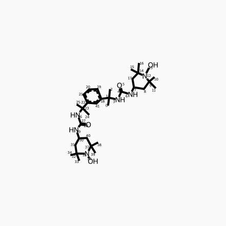 CC(C)(NC(=O)NC1CC(C)(C)N(O)C(C)(C)C1)c1cccc(C(C)(C)NC(=O)NC2CC(C)(C)N(O)C(C)(C)C2)c1